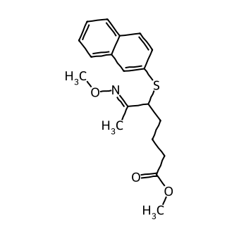 CON=C(C)C(CCCC(=O)OC)Sc1ccc2ccccc2c1